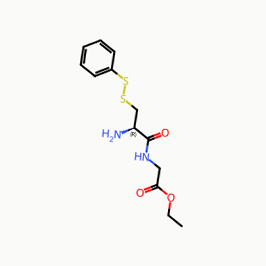 CCOC(=O)CNC(=O)[C@@H](N)CSSc1ccccc1